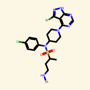 CCNCCC(C)S(=O)(=O)N(c1ccc(Cl)cc1)C1CCN(c2ncnc3[nH]nc(Br)c23)CC1